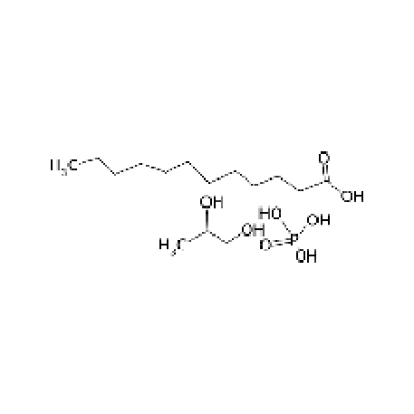 CC(O)CO.CCCCCCCCCCCC(=O)O.O=P(O)(O)O